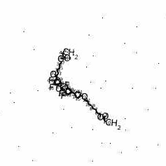 C=CC(=O)OCCCCCCCCOC1=CC=C(c2cc(F)c(C(F)(F)Oc3ccc(C(=O)CCCCCOC(=O)C=C)c(F)c3F)c(F)c2)CC1